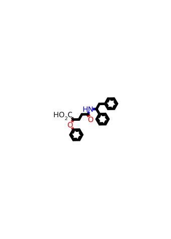 O=C(CCC(Oc1ccccc1)C(=O)O)NC(Cc1ccccc1)c1ccccc1